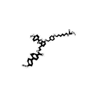 C=CC(=O)OCCCCCCOC1CCC(COc2ccc(CCOC(=O)c3ccc(-c4ccc(CCCCC)cc4)cc3)c3nc(-c4ccc(C#N)cc4)sc23)CC1